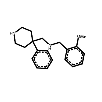 COc1ccccc1CNCC1(c2ccccc2)CCNCC1